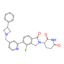 O=C1CCC(N2Cc3c(ccc(-c4cc(CN5CC(c6ccccc6)C5)ccn4)c3F)C2=O)C(=O)N1